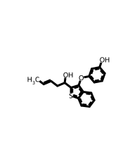 CC=CCC(O)c1sc2ccccc2c1Oc1cccc(O)c1